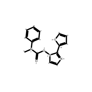 CN(C(=O)On1ccnc1-c1cccs1)c1ccccc1